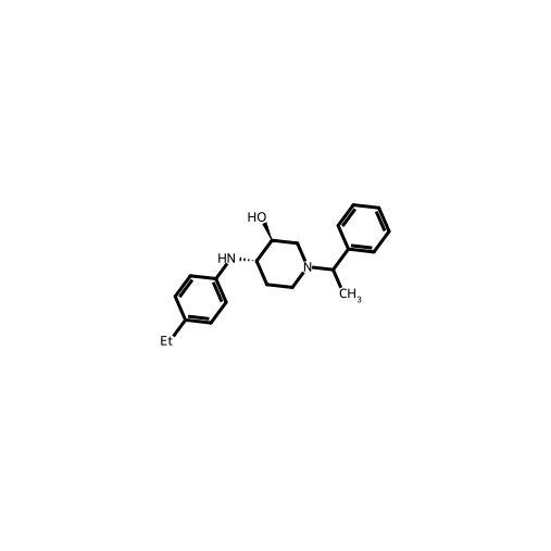 CCc1ccc(N[C@H]2CCN(C(C)c3ccccc3)C[C@@H]2O)cc1